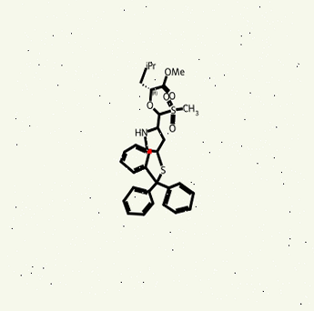 COC(=O)[C@@H](CC(C)C)OC(C1CC(SC(c2ccccc2)(c2ccccc2)c2ccccc2)CN1)S(C)(=O)=O